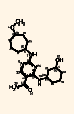 CO[C@@H]1CCC[C@H](Nc2ncc(C(N)=O)c(N[C@@H]3CCC[C@H](O)C3)n2)CC1